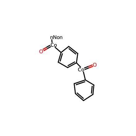 CCCCCCCC[CH2][Co](=[O])[c]1cc[c]([Co](=[O])[c]2ccccc2)cc1